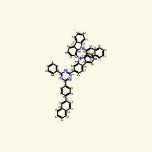 c1ccc(-c2nc(-c3ccc(-c4ccc5ccccc5c4)cc3)nc(-c3ccc4c5ccccc5n(-c5cccc6c7ccccc7n(-c7ccc8ccccc8c7)c56)c4c3)n2)cc1